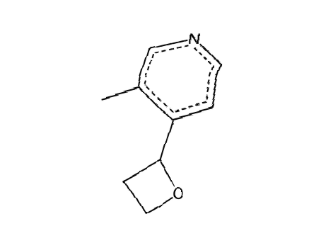 Cc1cnccc1C1CCO1